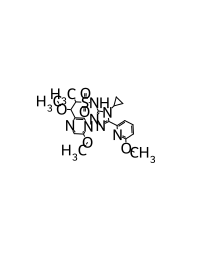 COc1cnc(C(OC)C(C)S(=O)(=O)Nc2nnc(-c3cccc(OC)n3)n2C2CC2)cn1